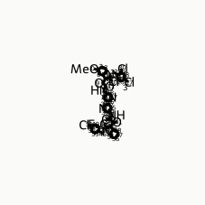 COc1ccc2c(c1)c(C(=O)C(=O)Nc1cccnc1)c(C(F)(F)F)n2Cc1ccc(Cl)cc1Cl.O=C(Nc1cccnc1)C(=O)c1c(C(F)(F)F)n(Cc2ccc(Cl)cc2)c2ccccc12